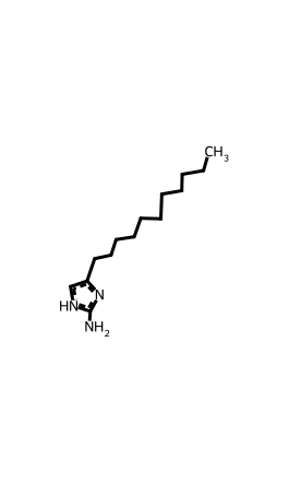 CCCCCCCCCCCc1c[nH]c(N)n1